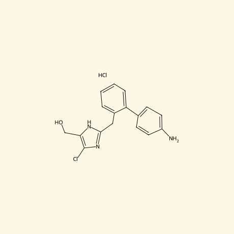 Cl.Nc1ccc(-c2ccccc2Cc2nc(Cl)c(CO)[nH]2)cc1